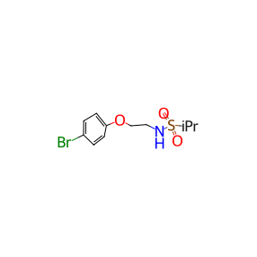 CC(C)S(=O)(=O)NCCOc1ccc(Br)cc1